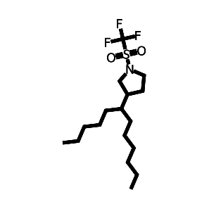 CCCCCCC(CCCCC)C1CCN(S(=O)(=O)C(F)(F)F)C1